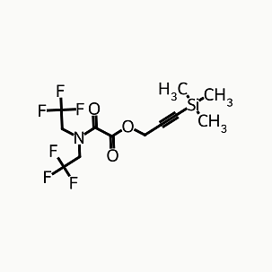 C[Si](C)(C)C#CCOC(=O)C(=O)N(CC(F)(F)F)CC(F)(F)F